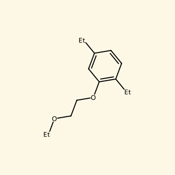 CCOCCOc1cc(CC)ccc1CC